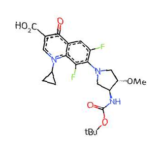 CO[C@H]1CN(c2c(F)cc3c(=O)c(C(=O)O)cn(C4CC4)c3c2F)C[C@@H]1NC(=O)OC(C)(C)C